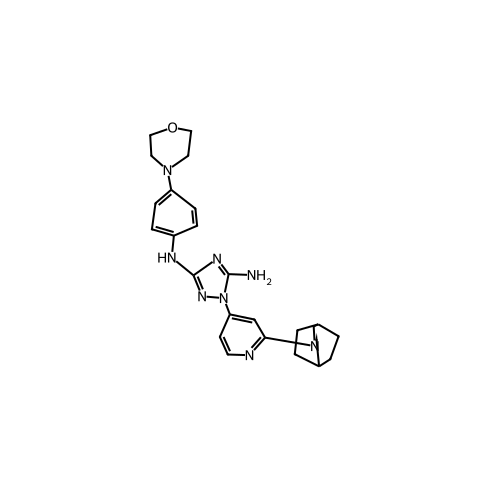 Nc1nc(Nc2ccc(N3CCOCC3)cc2)nn1-c1ccnc(N2CC3CCC(CC3)C2)c1